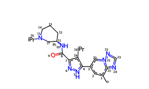 Cc1cc(-c2[nH]nc(C(=O)N[C@@H]3CCCN(C(C)C)C3)c2C(C)C)cn2ncnc12